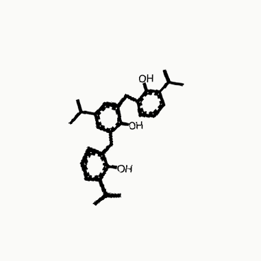 CC(C)c1cc(Cc2cccc(C(C)C)c2O)c(O)c(Cc2cccc(C(C)C)c2O)c1